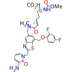 COC(=O)N[C@@H](CC/C=C/C(=O)N(C)Cc1cc(COc2ccc(F)cc2F)c2sc(Cn3cccc(N)c3=O)nc2c1)C(=O)O